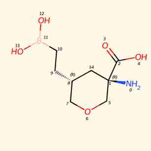 N[C@@]1(C(=O)O)COC[C@H](CCB(O)O)C1